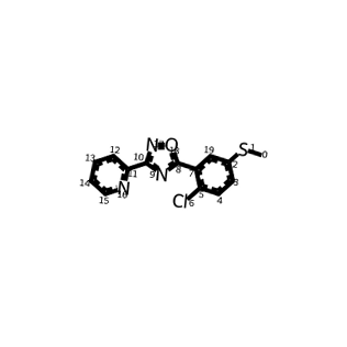 CSc1ccc(Cl)c(-c2nc(-c3ccccn3)no2)c1